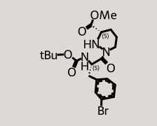 COC(=O)[C@@H]1CCCN(C(=O)[C@H](Cc2cccc(Br)c2)NC(=O)OC(C)(C)C)N1